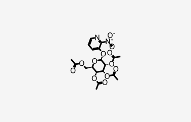 CC(=O)OC[C@H]1O[C@@H](Oc2cccnc2[N+](=O)[O-])[C@H](OC(C)=O)[C@@H](OC(C)=O)[C@H]1OC(C)=O